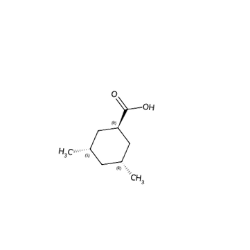 C[C@@H]1C[C@H](C)C[C@@H](C(=O)O)C1